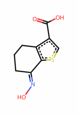 O=C(O)c1csc2c1CCCC2=NO